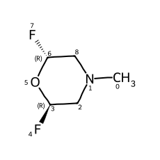 CN1C[C@@H](F)O[C@H](F)C1